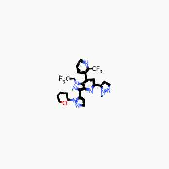 Cn1nccc1-c1cc(-c2cccnc2C(F)(F)F)c2c(n1)c(-c1ccnn1C1CCCCO1)nn2CC(F)(F)F